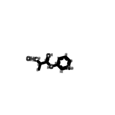 CC(C=O)C(=O)Oc1cccnc1